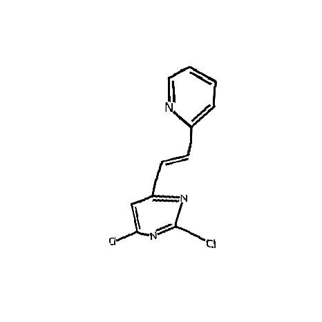 Clc1cc(C=Cc2ccccn2)nc(Cl)n1